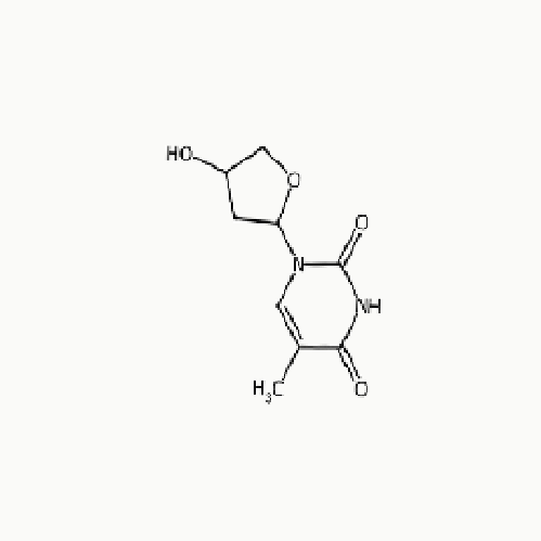 Cc1cn(C2CC(O)CO2)c(=O)[nH]c1=O